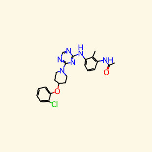 CC(=O)Nc1cccc(Nc2ncnc(N3CCC(Oc4ccccc4Cl)CC3)n2)c1C